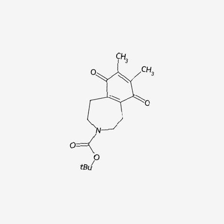 CC1=C(C)C(=O)C2=C(CCN(C(=O)OC(C)(C)C)CC2)C1=O